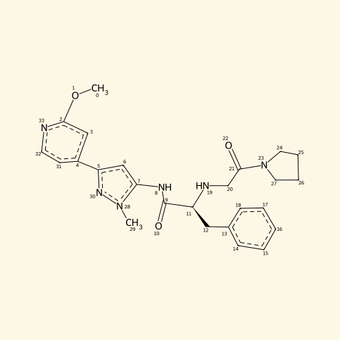 COc1cc(-c2cc(NC(=O)[C@H](Cc3ccccc3)NCC(=O)N3CCCC3)n(C)n2)ccn1